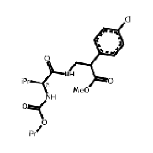 COC(=O)C(CNC(=O)[C@@H](NC(=O)OC(C)C)C(C)C)c1ccc(Cl)cc1